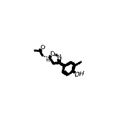 CC(=O)C[C@H]1CC(c2ccc(O)c(C)c2)=NO1